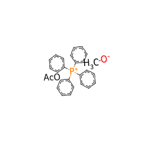 CC(=O)Oc1ccccc1[P+](c1ccccc1)(c1ccccc1)c1ccccc1.C[O-]